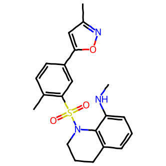 CNc1cccc2c1N(S(=O)(=O)c1cc(-c3cc(C)no3)ccc1C)CCC2